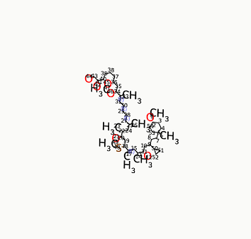 COC1CCC(C)(CCC(CC(=O)C(C)/C=C(\C)C(CC(=O)C(C)CC(C)/C=C/C=C/C=C(\C)C(CC2CCCC(C(=O)C=O)O2)OC)SC)C2CC2)CC1